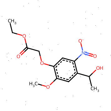 CCOC(=O)COc1cc([N+](=O)[O-])c(C(C)O)cc1OC